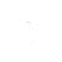 CC(C)C(NC(=O)OC(C)(C)C)C(=O)OCCOCc1ccccc1